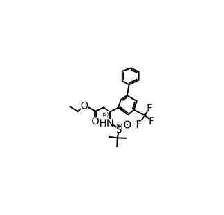 CCOC(=O)C[C@H](N[S@+]([O-])C(C)(C)C)c1cc(-c2ccccc2)cc(C(F)(F)F)c1